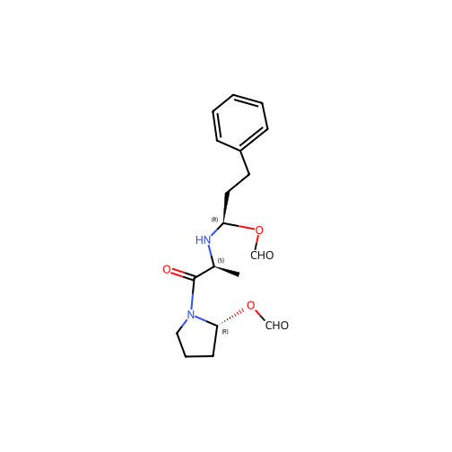 C[C@H](N[C@@H](CCc1ccccc1)OC=O)C(=O)N1CCC[C@H]1OC=O